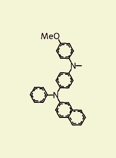 COc1ccc(N(C)c2ccc(N(c3ccccc3)c3ccc4ccccc4c3)cc2)cc1